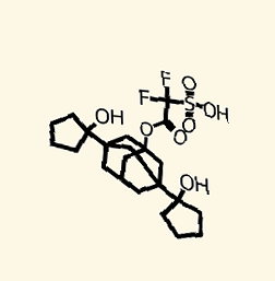 O=C(OC12CC3CC(C4(O)CCCC4)(C1)CC(C1(O)CCCC1)(C3)C2)C(F)(F)S(=O)(=O)O